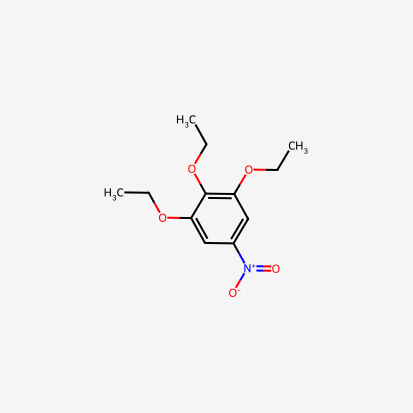 CCOc1cc([N+](=O)[O-])cc(OCC)c1OCC